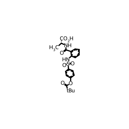 C[C@@H](NC(=O)c1ccccc1NS(=O)(=O)c1ccc(OC(=O)C(C)(C)C)cc1)C(=O)O